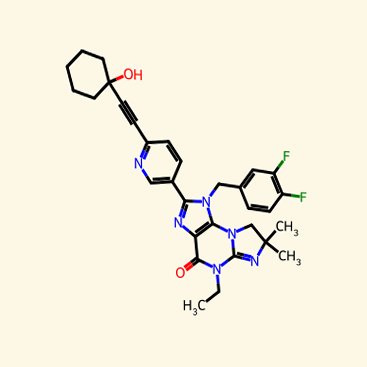 CCN1C(=O)c2nc(-c3ccc(C#CC4(O)CCCCC4)nc3)n(Cc3ccc(F)c(F)c3)c2N2CC(C)(C)N=C12